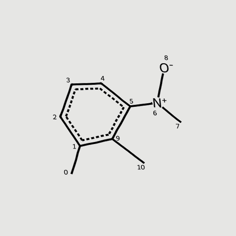 Cc1cccc([N+](C)[O-])c1C